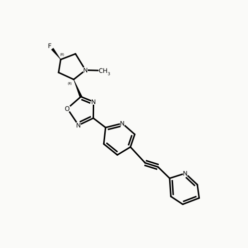 CN1C[C@H](F)C[C@@H]1c1nc(-c2ccc(C#Cc3ccccn3)cn2)no1